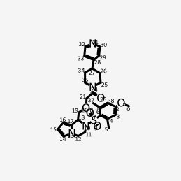 COc1cc(C)c(S(=O)(=O)N2CCn3cccc3C2COCC(=O)N2CCC(c3ccncc3)CC2)c(C)c1